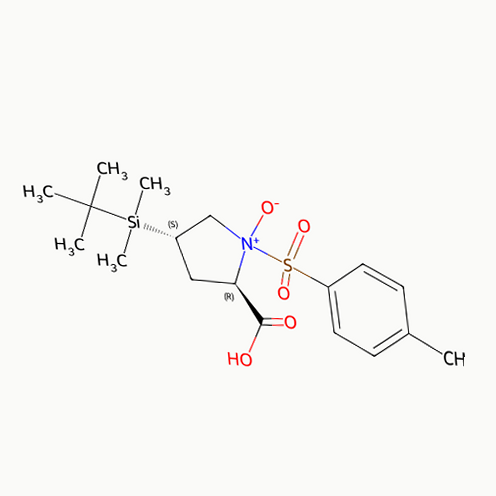 Cc1ccc(S(=O)(=O)[N+]2([O-])C[C@@H]([Si](C)(C)C(C)(C)C)C[C@@H]2C(=O)O)cc1